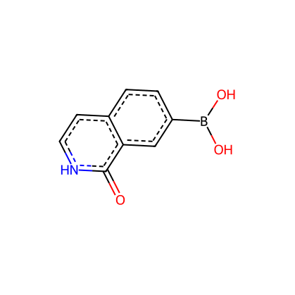 O=c1[nH]ccc2ccc(B(O)O)cc12